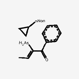 CC=C([AsH2])C(=O)c1ccccc1.CCCCCCCCCC1CC1